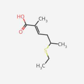 CCSC(C)C/C=C(\C)C(=O)O